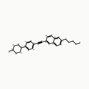 CCCCCc1ccc2cc(C#Cc3ccc(C4CCC(C)CC4)cc3)ccc2c1